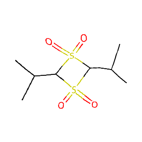 CC(C)C1S(=O)(=O)C(C(C)C)S1(=O)=O